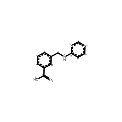 O=C(O)c1cccc(CNc2ccncn2)c1